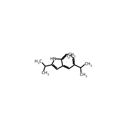 C/C=c1/[nH]c(C(C)C)c/c1=C/C(=C\N)C(C)C